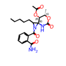 CCCCCC1N(C(=O)c2ccccc2C(N)=O)[C@]12NC(=O)O[C@@H](C)[C@@H]2OC(C)=O